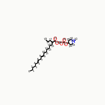 CCCCCC=CCC=CCCCCCCC(CCC)C(=O)OCOC(=O)OC1CCN(C)CC1